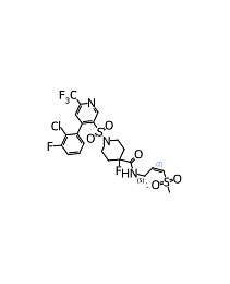 C[C@@H](/C=C\S(C)(=O)=O)NC(=O)C1(F)CCN(S(=O)(=O)c2cnc(C(F)(F)F)cc2-c2cccc(F)c2Cl)CC1